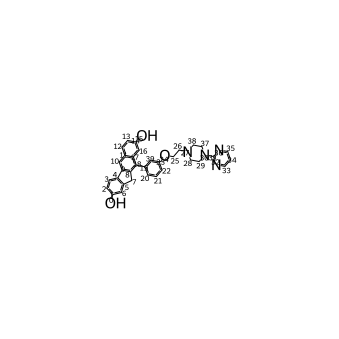 Oc1ccc2c(c1)Cc1c-2cc2ccc(O)cc2c1-c1cccc(OCCN2CCN(c3ncccn3)CC2)c1